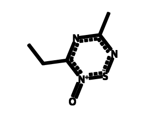 CCc1nc(C)ns[n+]1=O